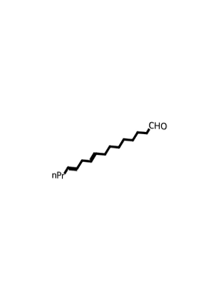 CCCC=CCC=CCCCCCCCC=O